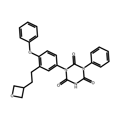 O=c1[nH]c(=O)n(-c2ccc(Oc3ccccc3)c(CCC3COC3)c2)c(=O)n1-c1ccccc1